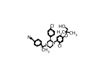 C[C@@H](c1ccc(C#N)cc1)N1CCN(c2ccc(OC(C)(C)CO)cc2Cl)[C@H](c2ccc(Cl)cc2)C1